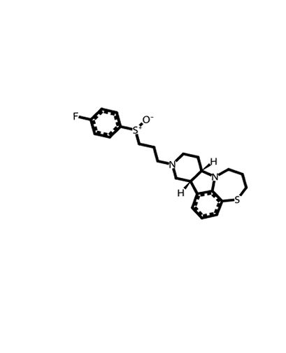 [O-][S+](CCCN1CC[C@H]2[C@@H](C1)c1cccc3c1N2CCCS3)c1ccc(F)cc1